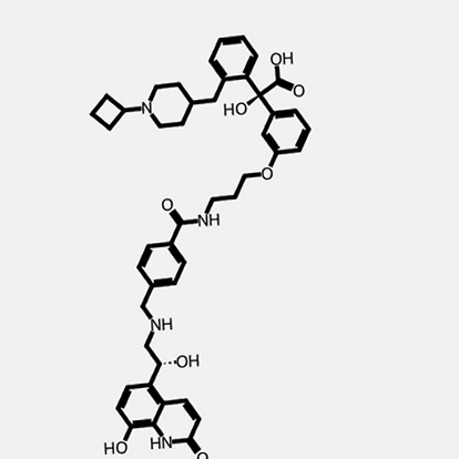 O=C(NCCCOc1cccc([C@@](O)(C(=O)O)c2ccccc2CC2CCN(C3CCC3)CC2)c1)c1ccc(CNC[C@H](O)c2ccc(O)c3[nH]c(=O)ccc23)cc1